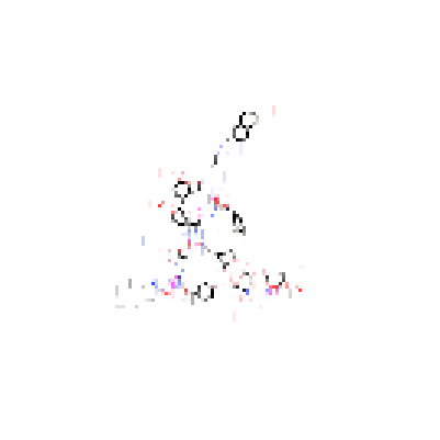 CN[C@H](CC(C)C)C(=O)N[C@H]1C(=O)N[C@@H](CC(N)=O)C(=O)NC2C(=O)N[C@H]3C(=O)N[C@H](C(=O)NC(C(=O)NCCCNC(=O)c4ccc5cc(O)ccc5c4)c4cc(O)cc(O)c4-c4cc3ccc4O)[C@H](O)c3ccc(c(Cl)c3)Oc3cc2cc(c3O[C@@H]2O[C@H](CO)[C@@H](O)[C@H](O)[C@H]2OC2C[C@](C)(N)[C@H](O)[C@H](C)O2)Oc2ccc(cc2)[C@H]1O